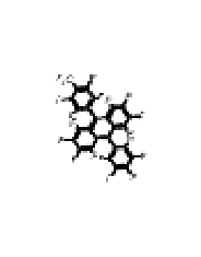 Fc1c(F)c(F)c(-c2c3c(F)c(F)c(F)c(F)c3c(-c3c(F)c(F)c(C(F)(F)F)c(F)c3F)c3c(F)c(F)c(F)c(F)c23)c(F)c1F